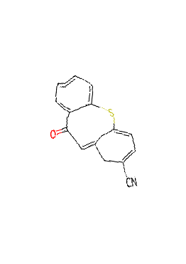 N#CC1=CC=C2Sc3ccccc3C(=O)C=C2C1